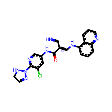 N=C/C(=C\Nc1cccc2ncccc12)C(=O)Nc1cnc(N2N=CCN2)c(Cl)c1